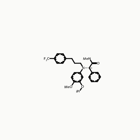 CNC(=O)[C@H](c1ccccc1)N(CCCc1ccc(C(F)(F)F)cc1)c1ccc(OC)c(OC(C)C)c1